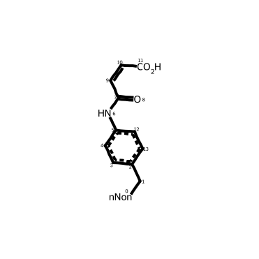 CCCCCCCCCCc1ccc(NC(=O)/C=C\C(=O)O)cc1